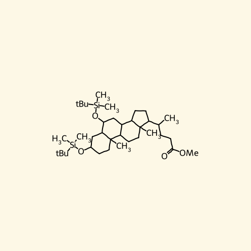 COC(=O)CCC(C)C1CCC2C3CC(O[Si](C)(C)C(C)(C)C)C4CC(O[Si](C)(C)C(C)(C)C)CCC4(C)C3CCC12C